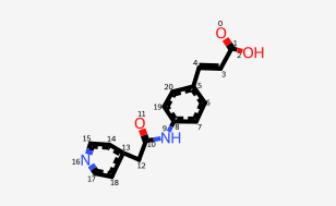 O=C(O)/C=C/c1ccc(NC(=O)Cc2ccncc2)cc1